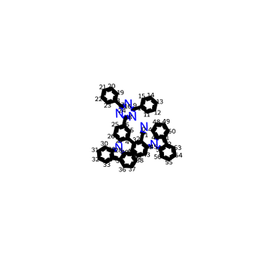 N#Cc1c(-c2cc(-c3nc(-c4ccccc4)nc(-c4ccccc4)n3)ccc2-n2c3ccccc3c3ccccc32)cccc1-n1c2ccccc2c2ccccc21